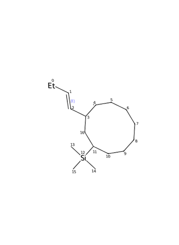 CC/C=C/C1[CH]CCCCCCC([Si](C)(C)C)C1